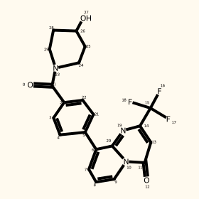 O=C(c1ccc(-c2cccn3c(=O)cc(C(F)(F)F)nc23)cc1)N1CCC(O)CC1